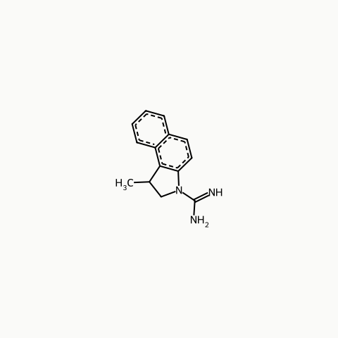 CC1CN(C(=N)N)c2ccc3ccccc3c21